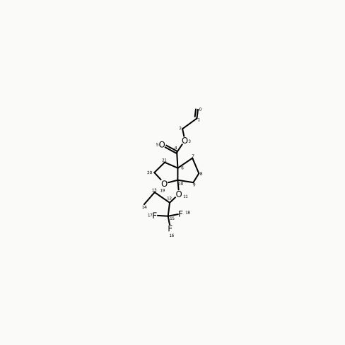 C=CCOC(=O)C12CCCC1(OC(CC)C(F)(F)F)OCC2